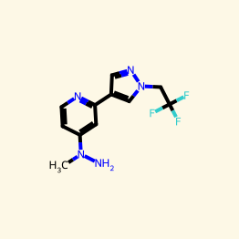 CN(N)c1ccnc(-c2cnn(CC(F)(F)F)c2)c1